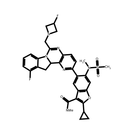 CNC(=O)c1c(C2CC2)oc2cc(N(C)S(C)(=O)=O)c(-c3ccc4c(n3)C3Cc5c(F)cccc5N3C(CN3CC(F)C3)=N4)cc12